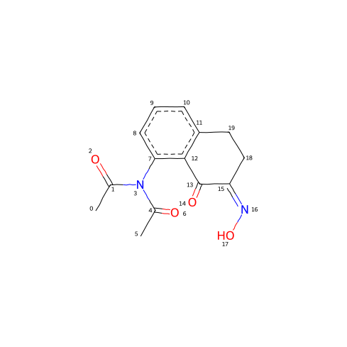 CC(=O)N(C(C)=O)c1cccc2c1C(=O)C(=NO)CC2